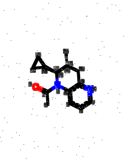 CC(=O)N1c2cccnc2C[C@@H](C)[C@@H]1C1CC1